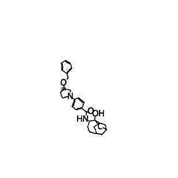 O=C(NC1CCC2CC3CC(C2)C1(O)C3)c1ccc(N2CC[C@@H](OCc3ccccc3)C2)cc1